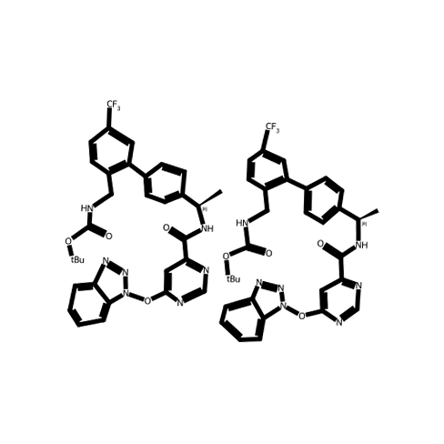 C[C@@H](NC(=O)c1cc(On2nnc3ccccc32)ncn1)c1ccc(-c2cc(C(F)(F)F)ccc2CNC(=O)OC(C)(C)C)cc1.C[C@@H](NC(=O)c1cc(On2nnc3ccccc32)ncn1)c1ccc(-c2cc(C(F)(F)F)ccc2CNC(=O)OC(C)(C)C)cc1